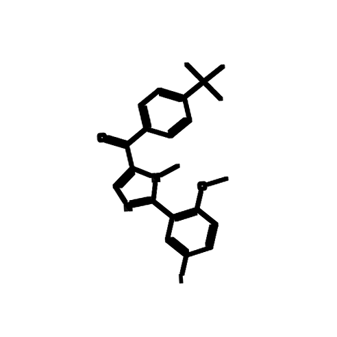 COc1ccc(I)cc1-c1ncc(C(=O)c2ccc(C(C)(C)C)cc2)n1C